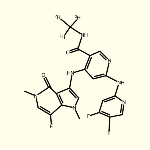 [2H]C([2H])([2H])NC(=O)c1cnc(Nc2cc(F)c(F)cn2)cc1Nc1cn(C)c2c(F)cn(C)c(=O)c12